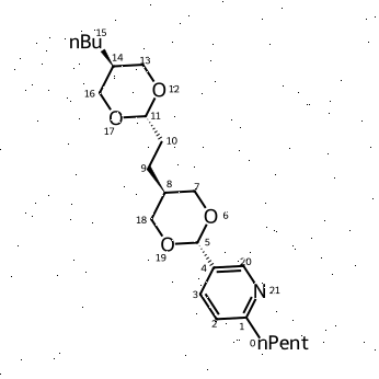 CCCCCc1ccc([C@H]2OC[C@H](CC[C@H]3OC[C@H](CCCC)CO3)CO2)cn1